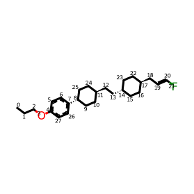 CCCOc1ccc([C@H]2CC[C@H](CC[C@H]3CC[C@H](CC=CF)CC3)CC2)cc1